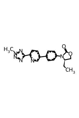 CC[C@@H]1COC(=O)N1c1ccc(-c2ccc(-c3nnn(C)n3)nc2)cc1